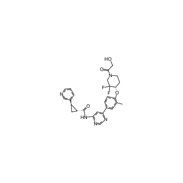 Cc1cc(-c2cc(NC(=O)[C@@H]3C[C@H]3c3cccnc3)ncn2)ccc1O[C@H]1CCN(C(=O)CO)CC1(F)F